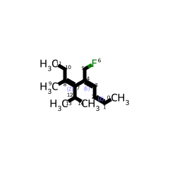 C\C=C/C=C(CF)\C(=C(\C)CC)C(C)C